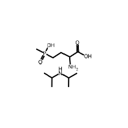 CC(C)NC(C)C.CP(=O)(O)CCC(N)C(=O)O